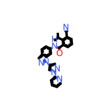 CC(C)c1c(C#N)cccc1C(=O)Nc1ccc2cnn(-c3cnn(-c4ccccn4)c3)c2c1